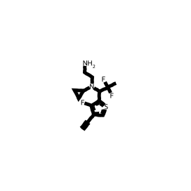 C#Cc1csc(C(N(CCN)C2CC2)C(C)(F)F)c1F